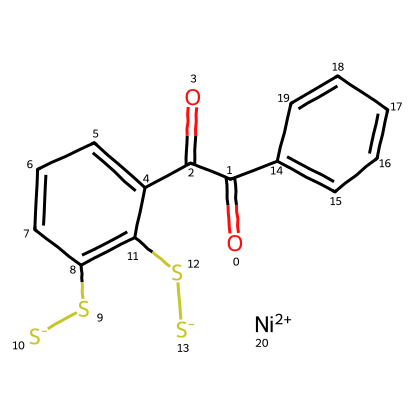 O=C(C(=O)c1cccc(S[S-])c1S[S-])c1ccccc1.[Ni+2]